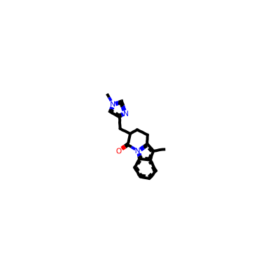 Cc1c2n(c3ccccc13)C(=O)C(Cc1cn(C)cn1)CC2